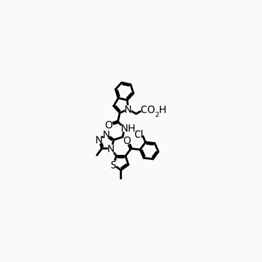 Cc1cc(C(=O)c2ccccc2Cl)c(-n2c(C)nnc2CNC(=O)c2cc3ccccc3n2CC(=O)O)s1